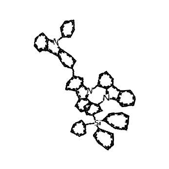 c1ccc(-n2c3ccccc3c3cc(-c4ccc5c6ccccc6n(-c6cccc7c8ccccc8n(-c8cccc([Si](c9ccccc9)(c9ccccc9)c9ccccc9)c8)c67)c5c4)ccc32)cc1